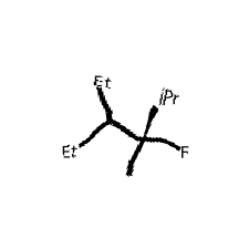 CCC(CC)[C@@](C)(F)C(C)C